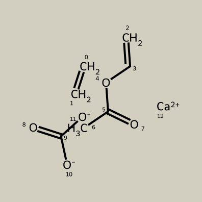 C=C.C=COC(C)=O.O=C([O-])[O-].[Ca+2]